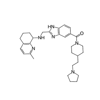 Cc1ccc2c(n1)C(NCc1nc3cc(C(=O)N4CCC(CCN5CCCC5)CC4)ccc3[nH]1)CCC2